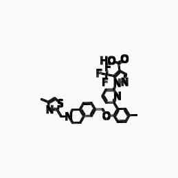 Cc1ccc(OCc2ccc3c(c2)CCN(Cc2nc(C)cs2)C3)c(-c2cccc(-n3ncc(C(=O)O)c3C(F)(F)F)n2)c1